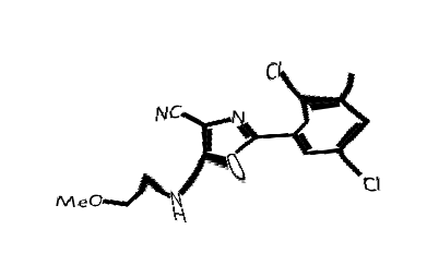 COCCNc1oc(-c2cc(Cl)cc(C)c2Cl)nc1C#N